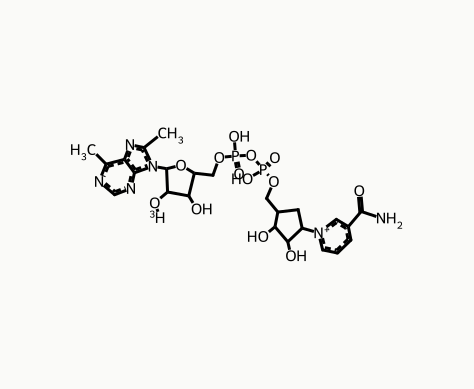 [3H]OC1C(O)C(COP(=O)(O)OP(=O)(O)OCC2CC([n+]3cccc(C(N)=O)c3)C(O)C2O)OC1n1c(C)nc2c(C)ncnc21